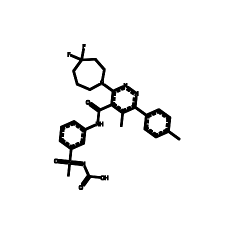 Cc1ccc(-c2nnc(N3CCCC(F)(F)CC3)c(C(=O)Nc3cccc(S(C)(=O)=NC(=O)O)c3)c2C)cc1